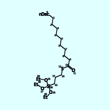 CCCCCCCCCCCCCCCCCCCC(=O)SCCC[Si](OCC)(OCC)OCC